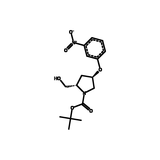 CC(C)(C)OC(=O)N1C[C@H](Oc2cccc([N+](=O)[O-])c2)C[C@H]1CO